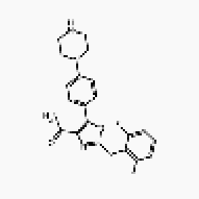 NC(=O)c1nc(Nc2c(F)cccc2F)oc1-c1ccc(N2CCNCC2)cc1